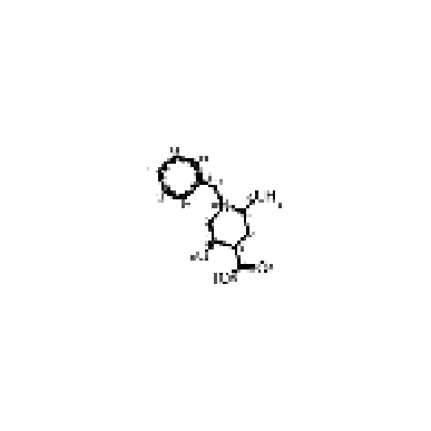 CC1CC(C(=O)O)C(=O)CN1Cc1ccccc1